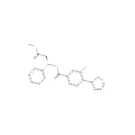 COC(=O)C[C@@H](NC(=O)c1ccc(-c2cn[nH]c2)c(C)c1)c1ccccc1